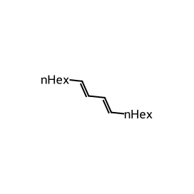 CCCCCCC=CC=CCCCCCC